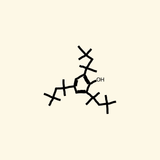 CC(C)(C)CC(C)(C)c1cc(C(C)(C)CC(C)(C)C)c(O)c(C(C)(C)CC(C)(C)C)c1